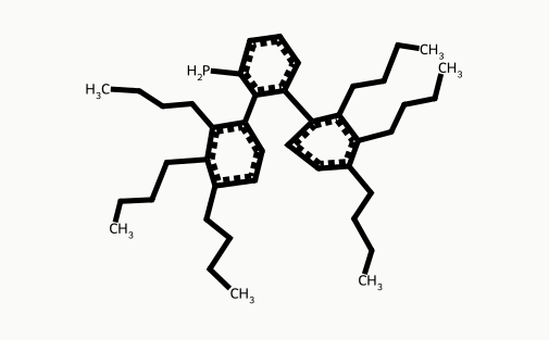 CCCCc1ccc(-c2cccc(P)c2-c2ccc(CCCC)c(CCCC)c2CCCC)c(CCCC)c1CCCC